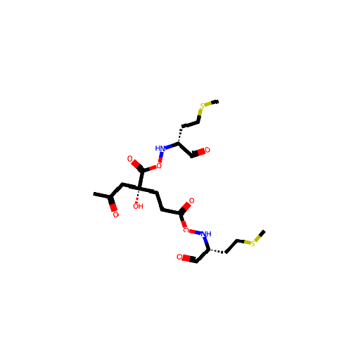 CSCC[C@H](C=O)NOC(=O)CC[C@@](O)(CC(C)=O)C(=O)ON[C@@H](C=O)CCSC